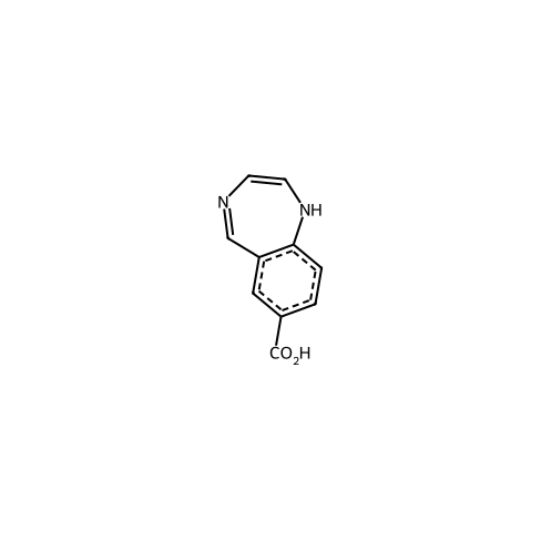 O=C(O)c1ccc2c(c1)C=NC=CN2